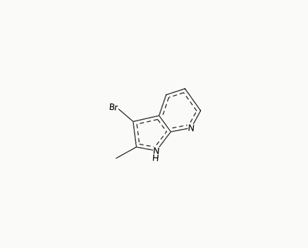 Cc1[nH]c2ncccc2c1Br